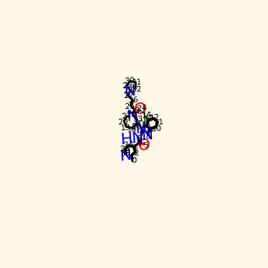 Cc1cc(C(=O)Nc2nc3cccc(Cl)c3n2[C@@H]2CCCCN(C(=O)C=CCN3CCCC3)C2)ccn1